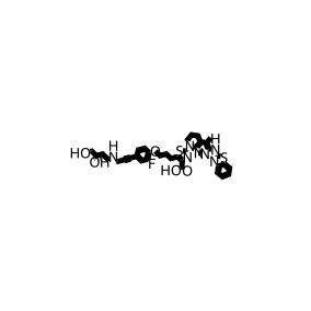 Cc1c(Nc2nc3ccccc3s2)nnc2c1CCCN2c1nc(C(=O)O)c(CCCOc2ccc(C#CCNCC[C@@H](O)CO)cc2F)s1